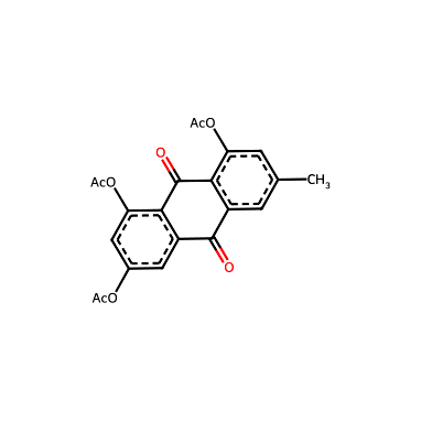 CC(=O)Oc1cc(OC(C)=O)c2c(c1)C(=O)c1cc(C)cc(OC(C)=O)c1C2=O